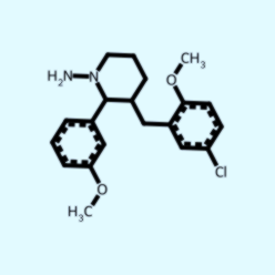 COc1cccc(C2C(Cc3cc(Cl)ccc3OC)CCCN2N)c1